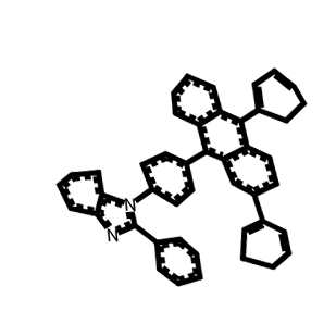 C1=CCCC(c2c3ccccc3c(-c3ccc(-n4c(-c5ccccc5)nc5ccccc54)cc3)c3cc(C4=CCCC=C4)ccc23)=C1